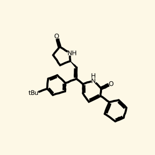 CC(C)(C)c1ccc(/C(=C\[C@H]2CCC(=O)N2)c2ccc(-c3ccccc3)c(=O)[nH]2)cc1